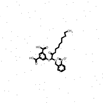 CCCCCCCCCC(=O)C(OCc1ccccc1[N+](=O)[O-])Oc1cc(C(=O)O)cc(C(=O)O)c1